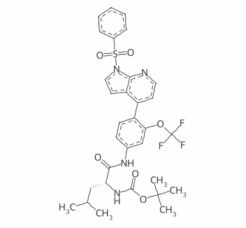 CC(C)C[C@@H](NC(=O)OC(C)(C)C)C(=O)Nc1ccc(-c2ccnc3c2ccn3S(=O)(=O)c2ccccc2)c(OC(F)(F)F)c1